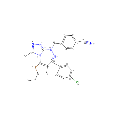 CCc1cc2c(s1)-n1c(C)nnc1N(Cc1ccc(C#N)cc1)N=C2c1ccc(Cl)cc1